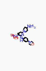 NC1CCN(c2ccc([N+](=O)[O-])c(Nc3ccc(N4CCOCC4)cc3)n2)CC1